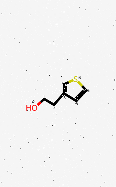 O[CH]Cc1ccsc1